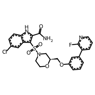 NC(=O)c1[nH]c2ccc(Cl)cc2c1S(=O)(=O)N1CCO[C@H](COc2cccc(-c3cccnc3F)c2)C1